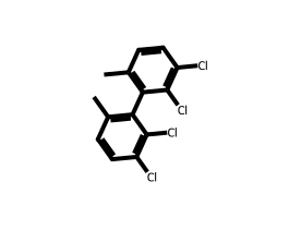 Cc1ccc(Cl)c(Cl)c1-c1c(C)ccc(Cl)c1Cl